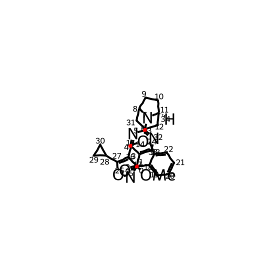 COC(=O)c1cnc(N2C3CC[C@H]2C[C@H](OCc2c(-c4ccccc4C)noc2C2CC2)C3)nc1